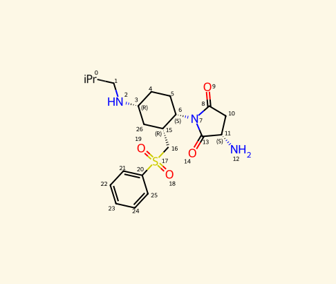 CC(C)CN[C@@H]1CC[C@H](N2C(=O)C[C@H](N)C2=O)[C@H](CS(=O)(=O)c2ccccc2)C1